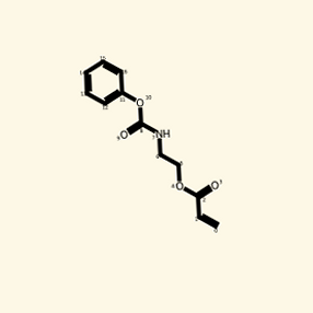 C=CC(=O)OCCNC(=O)Oc1ccccc1